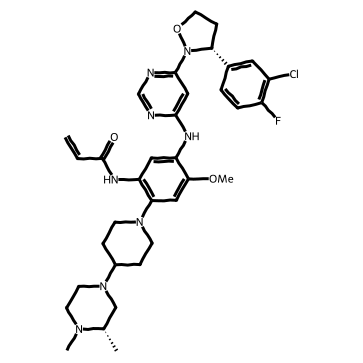 C=CC(=O)Nc1cc(Nc2cc(N3OCC[C@@H]3c3ccc(F)c(Cl)c3)ncn2)c(OC)cc1N1CCC(N2CCN(C)[C@@H](C)C2)CC1